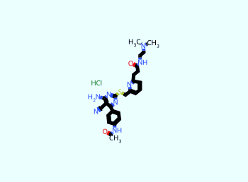 CC(=O)Nc1ccc(-c2nc(SCc3cccc(CCC(=O)NCCN(C)C)n3)nc(N)c2C#N)cc1.Cl